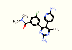 Cc1nc(N)nc(-c2cc(Cl)cc(C(=O)N(C)C)c2)c1-c1ccc(N)nc1